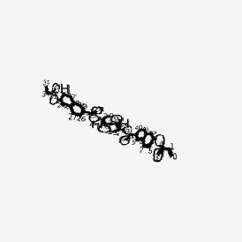 C=CC(=O)Oc1ccc2cc(C(=O)O[C@H]3CO[C@H]4[C@@H]3OC[C@H]4OC(=O)c3ccc4cc(OC(O)C=C)ccc4c3)ccc2c1